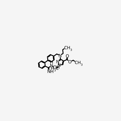 CCCN(Cc1ccc(-c2ccccc2C(=N)NO)cc1)c1nn(C)cc1C(=O)OCC